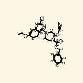 CCOC1=Cc2nc(Cl)nc(N3CCN(C(=O)OCc4ccccc4)[C@@H](CC#N)C3)c2CC1